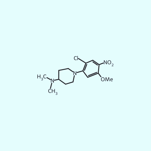 COc1cc(N2CCC(N(C)C)CC2)c(Cl)cc1[N+](=O)[O-]